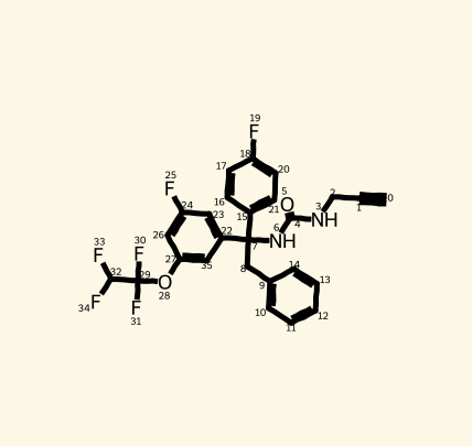 C#CCNC(=O)NC(Cc1ccccc1)(c1ccc(F)cc1)c1cc(F)cc(OC(F)(F)C(F)F)c1